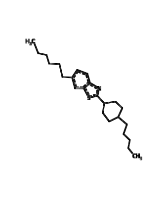 CCCCCCc1ccc2nc(C3CCC(CCCCC)CC3)sc2c1